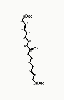 CCCCCCCCCCCC=CCCCCC(=O)CCCCC=CCCCCCCCCCCC